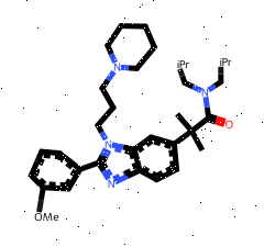 COc1cccc(-c2nc3ccc(C(C)(C)C(=O)N(CC(C)C)CC(C)C)cc3n2CCCN2CCCCC2)c1